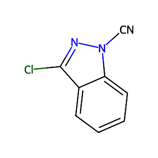 N#Cn1nc(Cl)c2ccccc21